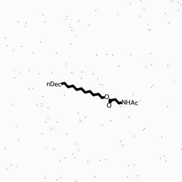 CCCCCCCCCCCCCCCCCCCCOC(=O)CCNC(C)=O